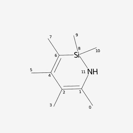 CC1=C(C)C(C)=C(C)[Si](C)(C)N1